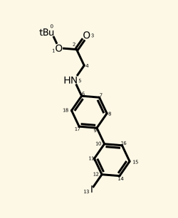 CC(C)(C)OC(=O)CNc1ccc(-c2[c]c(I)ccc2)cc1